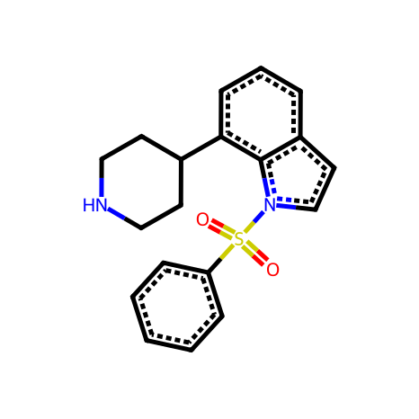 O=S(=O)(c1ccccc1)n1ccc2cccc(C3CCNCC3)c21